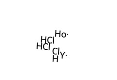 Cl.Cl.Cl.[Ho].[Y]